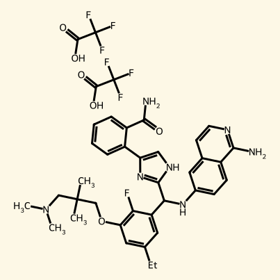 CCc1cc(OCC(C)(C)CN(C)C)c(F)c(C(Nc2ccc3c(N)nccc3c2)c2nc(-c3ccccc3C(N)=O)c[nH]2)c1.O=C(O)C(F)(F)F.O=C(O)C(F)(F)F